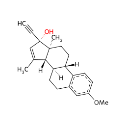 C#C[C@]1(O)C=C(C)[C@H]2[C@@H]3CCc4cc(OC)ccc4[C@H]3CC[C@@]21C